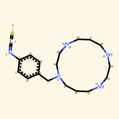 S=C=Nc1ccc(CN2CCCNCCNCCCNCC2)cc1